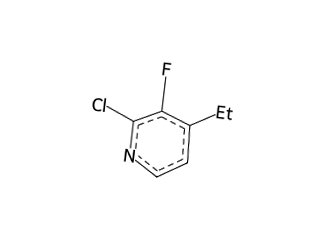 CCc1ccnc(Cl)c1F